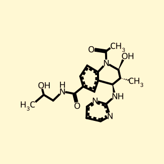 CC(=O)N1c2ccc(C(=O)NCC(C)O)cc2[C@H](Nc2ncccn2)[C@@H](C)[C@@H]1O